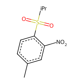 Cc1ccc(S(=O)(=O)C(C)C)c([N+](=O)[O-])c1